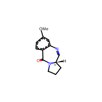 COc1ccc2c(c1)N=C[C@@H]1CCCN1C2=O